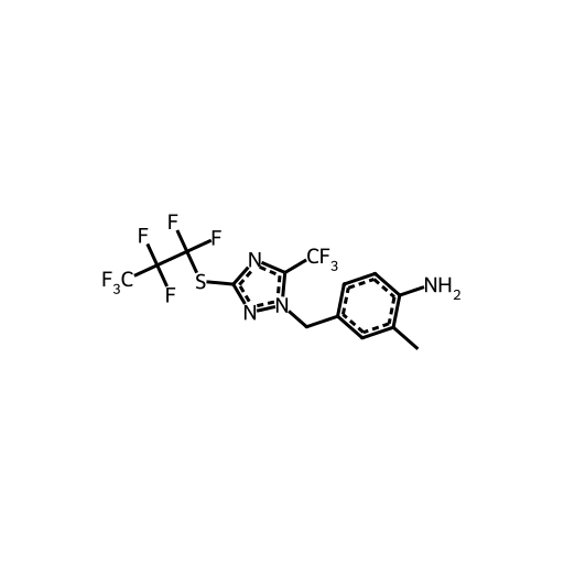 Cc1cc(Cn2nc(SC(F)(F)C(F)(F)C(F)(F)F)nc2C(F)(F)F)ccc1N